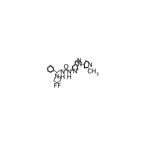 Cc1cc(-n2ncc3cc(NC(=O)NCC(c4ccccc4)N4CCC(F)(F)CC4)ncc32)ccn1